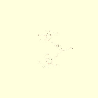 C=CCOCC(CO)(COCCC[C@H]1S[C@@H](COC(C)=O)[C@@H](OC(C)=O)[C@H](OC(C)=O)[C@@H]1OC(C)=O)COCCC[C@H]1S[C@@H](COC(C)=O)[C@@H](OC(C)=O)[C@H](OC(C)=O)[C@@H]1OC(C)=O